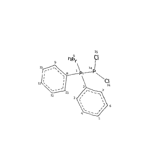 CCC[P](c1ccccc1)(c1ccccc1)P(Cl)Cl